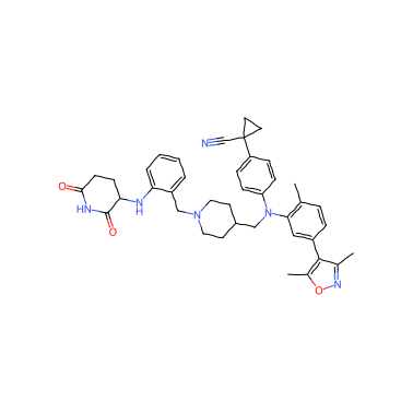 Cc1ccc(-c2c(C)noc2C)cc1N(CC1CCN(Cc2ccccc2NC2CCC(=O)NC2=O)CC1)c1ccc(C2(C#N)CC2)cc1